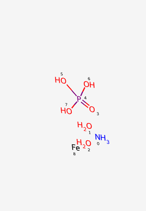 N.O.O.O=P(O)(O)O.[Fe]